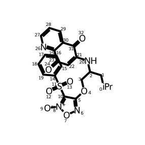 CC(C)CC(COc1no[n+]([O-])c1S(=O)(=O)c1ccccc1)NC1=CC(=O)c2ncccc2C1=O